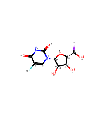 O=c1[nH]c(=O)n([C@@H]2O[C@H](C(O)I)[C@@H](O)[C@H]2O)cc1F